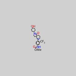 COC(=O)Nc1ccc(N2CCC[C@]3(CCN([C@H]4CC[C@H](O)CC4)C3=O)C2)c(C(F)(F)F)c1